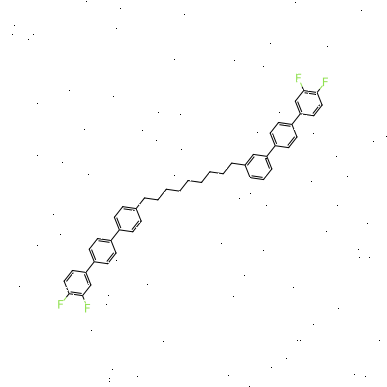 Fc1ccc(-c2ccc(-c3ccc(CCCCCCCCCc4cccc(-c5ccc(-c6ccc(F)c(F)c6)cc5)c4)cc3)cc2)cc1F